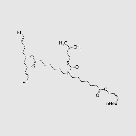 CC/C=C/CCC(CC/C=C/CC)OC(=O)CCCCCCN(CCCCCCC(=O)OC/C=C\CCCCCC)C(=O)SCCN(C)C